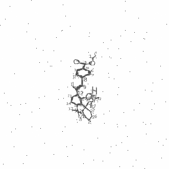 CCOC(=O)c1ccc(/C=C(\C)c2ccc(C(C)(C)C)c(C3(C)CCCCC3)c2O[SiH](C)C)cc1